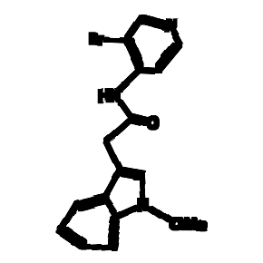 COn1cc(CC(=O)Nc2ccncc2Br)c2ccccc21